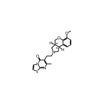 COc1cccc2c1OC[C@H]1CN(CCc3c(C)nc4sccn4c3=O)C[C@@H]21